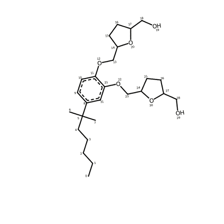 CCCCCC(C)(C)c1ccc(OCC2CCC(CO)O2)c(OCC2CCC(CO)O2)c1